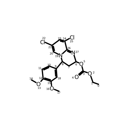 CCOC(=O)OC1CC(c2ccc(OC)c(OC)c2)N2C=C(Cl)C=C(Cl)C2=N1